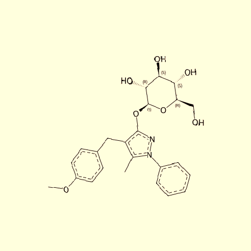 COc1ccc(Cc2c(O[C@@H]3O[C@H](CO)[C@@H](O)[C@H](O)[C@H]3O)nn(-c3ccccc3)c2C)cc1